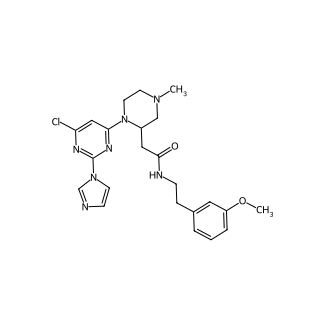 COc1cccc(CCNC(=O)CC2CN(C)CCN2c2cc(Cl)nc(-n3ccnc3)n2)c1